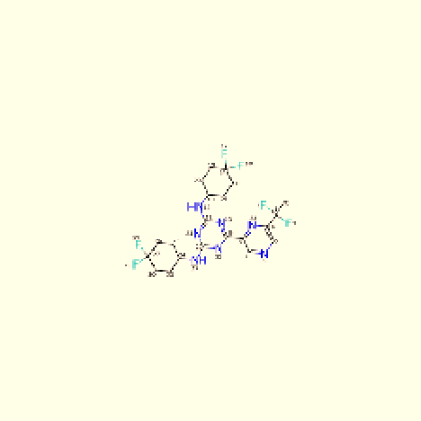 CC(F)(F)c1cncc(-c2nc(NC3CCC(F)(F)CC3)nc(NC3CCC(F)(F)CC3)n2)n1